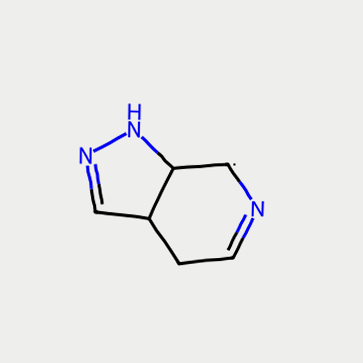 [CH]1N=CCC2C=NNC12